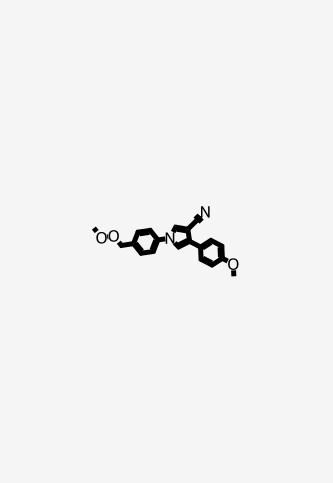 COOCc1ccc(-n2cc(C#N)c(-c3ccc(OC)cc3)c2)cc1